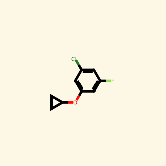 Fc1[c]c(OC2CC2)cc(Cl)c1